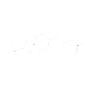 C=C(C)NCCN1CCC2(CC1)CC(C(C)(C)C)C2